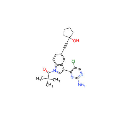 CC(C)(C)C(=O)n1cc(-c2nc(N)ncc2Cl)c2cc(C#CC3(O)CCCC3)ccc21